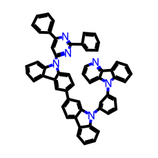 c1ccc(-c2cc(-n3c4ccccc4c4cc(-c5ccc6c7ccccc7n(-c7cccc(-n8c9ccccc9c9ncccc98)c7)c6c5)ccc43)nc(-c3ccccc3)n2)cc1